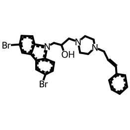 OC(CN1CCN(CC=Cc2ccccc2)CC1)Cn1c2ccc(Br)cc2c2cc(Br)ccc21